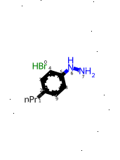 Br.CCCc1ccc(NN)cc1